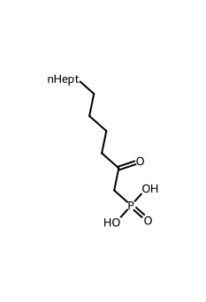 CCCCCCCCCCCC(=O)CP(=O)(O)O